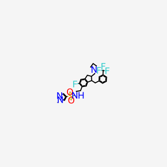 Cn1cc(S(=O)(=O)NCCc2cc3c(cc2F)CC(CN2CCC2)C3Cc2cccc(C(F)(F)F)c2)cn1